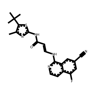 Cc1nc(NC(=O)C=CNc2nccc3c(F)cc(C#N)cc23)sc1C(C)(C)C